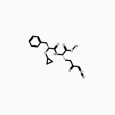 CC(C)OC(=O)[C@H](CCC(=O)C=[N+]=[N-])NC(=O)[C@H](Cc1ccccc1)OC1CC1